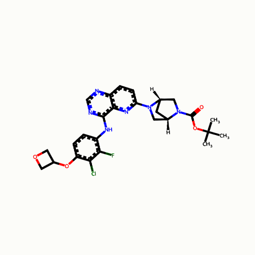 CC(C)(C)OC(=O)N1C[C@@H]2C[C@H]1CN2c1ccc2ncnc(Nc3ccc(OC4COC4)c(Cl)c3F)c2n1